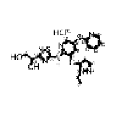 CCn1nccc1Oc1cc(Sc2ccccn2)cnc1Nc1nc(C(O)CO)ns1.Cl